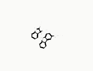 CC1=Nc2ccccc2C1(C)C.O=Cc1ccc2[nH]c3ccccc3c2c1